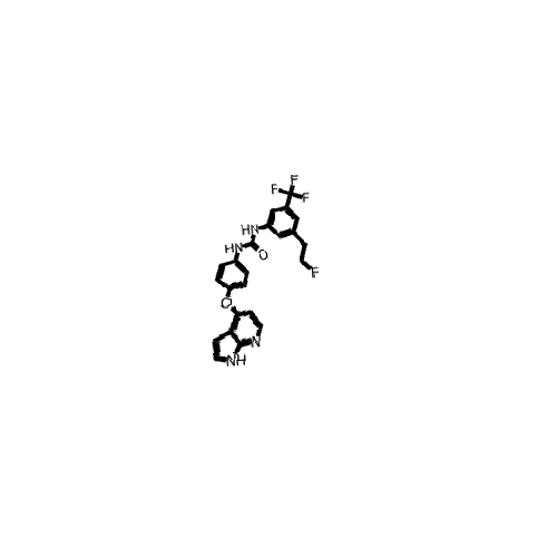 O=C(Nc1ccc(Oc2ccnc3[nH]ccc23)cc1)Nc1cc(CCF)cc(C(F)(F)F)c1